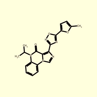 Cc1ccc(-c2nc(-c3ncn4c3c(=O)n(C(C)C)c3ccccc34)no2)o1